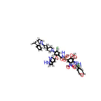 CC(C)c1ccccc1[C@@H]1CCCN1C1CC2(CCN(c3cc(Oc4cnc5[nH]ccc5c4)c(C(=O)NS(=O)(=O)c4cc([N+](=O)[O-])c(NCC5(F)CCOCC5)c5c4OCO5)cc3F)CC2)C1